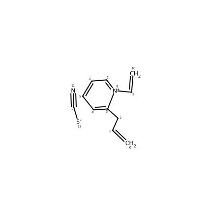 C=CCc1cccc[n+]1C=C.N#C[S-]